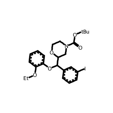 CCOc1ccccc1OC(c1cccc(I)c1)C1CN(C(=O)OC(C)(C)C)CCO1